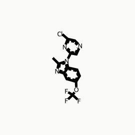 Cc1nc2cc(OC(F)(F)F)ccc2n1-c1cncc(Cl)n1